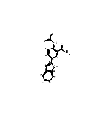 CC(C)OC1=C(C(N)=O)CC(c2cc3ccccc3o2)C=C1